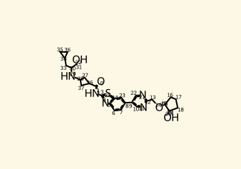 O=C(Nc1nc2ccc(-c3cnc(CO[C@H]4CCC[C@@H]4O)nc3)cc2s1)C1CC(NC(CO)CC2CC2)C1